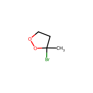 CC1(Br)CCOO1